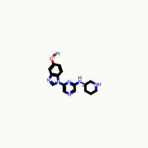 CC(C)Oc1ccc2c(c1)ncn2-c1cncc(N[C@@H]2CCCNC2)n1